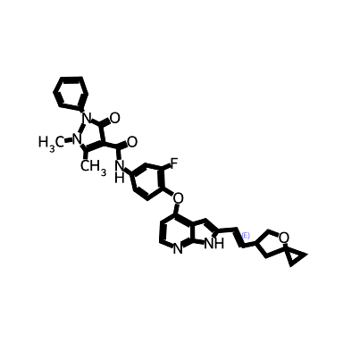 Cc1c(C(=O)Nc2ccc(Oc3ccnc4[nH]c(/C=C/C5COC6(CC6)C5)cc34)c(F)c2)c(=O)n(-c2ccccc2)n1C